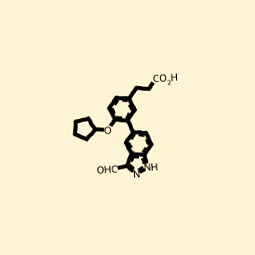 O=Cc1n[nH]c2ccc(-c3cc(CCC(=O)O)ccc3OC3CCCC3)cc12